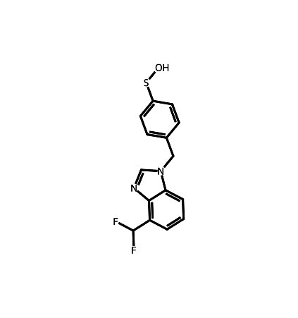 OSc1ccc(Cn2cnc3c(C(F)F)cccc32)cc1